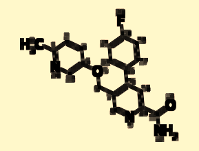 Cc1ccc(OCc2cnc(C(N)=O)cc2-c2ccc(F)cc2)cn1